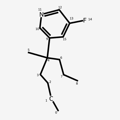 CCCCC(C)(CCC)c1cncc(F)c1